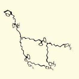 CCCCCCCCC(CC)OC(=O)CCCCCCCN(CCCCCCCC(=O)OC(CCCCCCCC)CCCCCCCC)CCCNC(=O)CSCc1ccco1